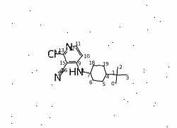 CC(C)(C)C1CCC(Nc2ccnc(Cl)c2C#N)CC1